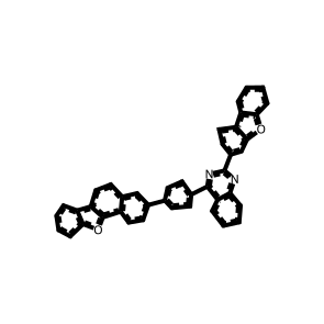 c1ccc2c(-c3ccc(-c4ccc5c(ccc6c7ccccc7oc56)c4)cc3)nc(-c3ccc4c(c3)oc3ccccc34)nc2c1